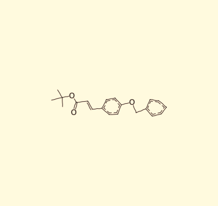 CC(C)(C)OC(=O)/C=C/c1ccc(OCc2ccccc2)cc1